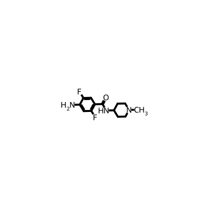 CN1CCC(NC(=O)c2cc(F)c(N)cc2F)CC1